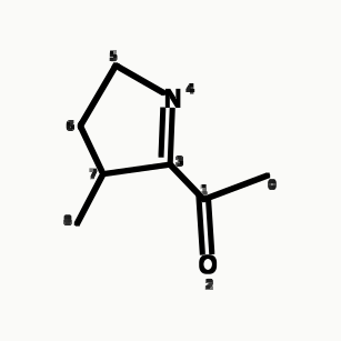 CC(=O)C1=NCCC1C